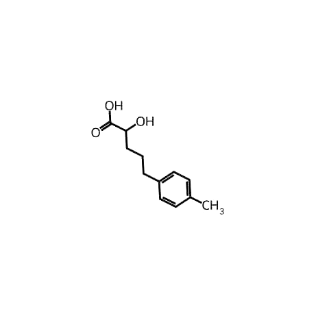 Cc1ccc(CCCC(O)C(=O)O)cc1